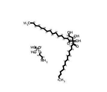 CCCCCCCCCCCCCCC(=O)C(O)(C(=O)CCCCCCCCCCCCCC)[C@@H](O)CO.NCCOP(=O)(O)O